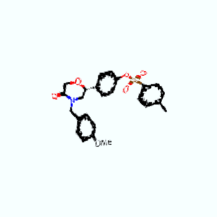 COc1ccc(CN2C[C@@H](c3ccc(OS(=O)(=O)c4ccc(C)cc4)cc3)OCC2=O)cc1